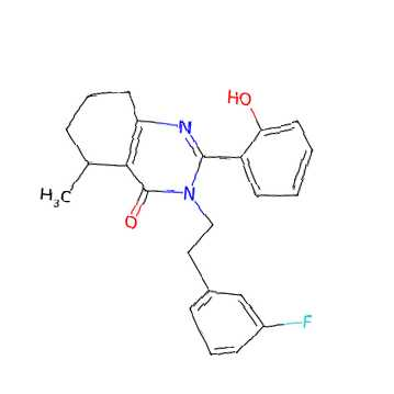 CC1CCCc2nc(-c3ccccc3O)n(CCc3cccc(F)c3)c(=O)c21